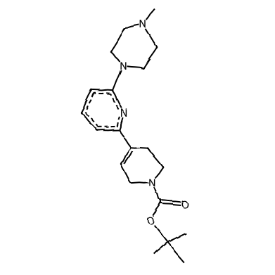 CN1CCN(c2cccc(C3=CCN(C(=O)OC(C)(C)C)CC3)n2)CC1